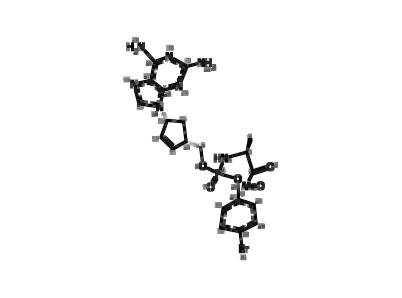 COC(=O)[C@H](C)NP(=O)(OC[C@@H]1C=C[C@H](n2cnc3c(N)nc(N)nc32)C1)Oc1ccc(Br)cc1